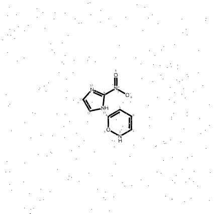 C1=CNOC=C1.O=[N+]([O-])c1ncc[nH]1